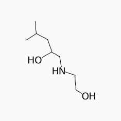 CC(C)CC(O)CNCCO